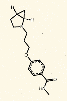 CNC(=O)c1ccc(OCCCN2CC[C@@H]3C[C@@H]32)cc1